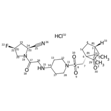 CC1(C)[C@@H]2CC[C@]1(CS(=O)(=O)N1CCC(NCC(=O)N3C[C@@H](F)C[C@H]3C#N)CC1)C(=O)C2.Cl